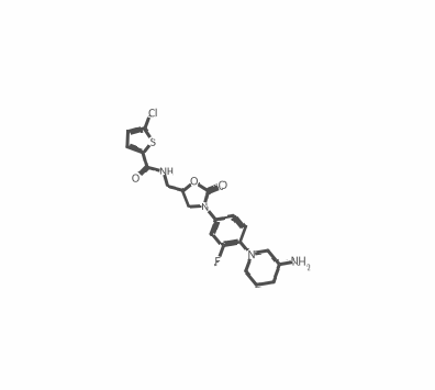 NC1CCCN(c2ccc(N3CC(CNC(=O)c4ccc(Cl)s4)OC3=O)cc2F)C1